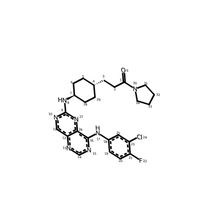 O=C(CC[C@H]1CC[C@H](Nc2ncc3ncnc(Nc4ccc(F)c(Cl)c4)c3n2)CC1)N1CCCC1